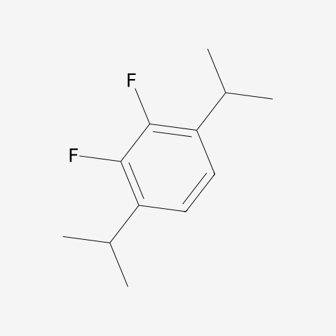 CC(C)c1ccc(C(C)C)c(F)c1F